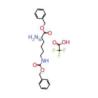 N[C@@H](CCCCNC(=O)OCc1ccccc1)C(=O)OCc1ccccc1.O=C(O)C(F)(F)F